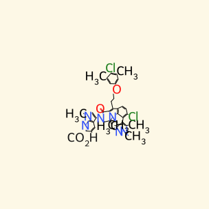 Cc1cc(OCCCc2c3n(c4c(-c5c(C)nn(C)c5C)c(Cl)ccc24)C(C)CN(c2cn(C)c4ncc(C(=O)O)cc24)C3=O)cc(C)c1Cl